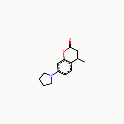 CC1CC(=O)Oc2cc(N3CCCC3)ccc21